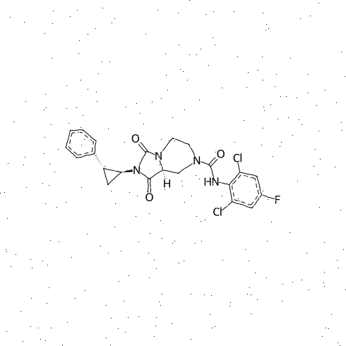 O=C(Nc1c(Cl)cc(F)cc1Cl)N1CCN2C(=O)N([C@H]3C[C@@H]3c3ccccc3)C(=O)[C@@H]2C1